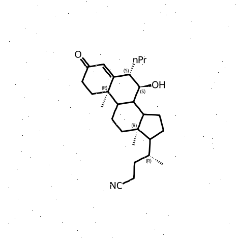 CCC[C@H]1C2=CC(=O)CC[C@]2(C)C2CC[C@@]3(C)C(CCC3[C@H](C)CCC#N)C2[C@@H]1O